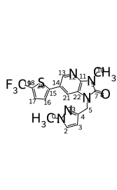 Cn1ccc(Cn2c(=O)n(C)c3ncc(-c4ccc(C(F)(F)F)s4)cc32)n1